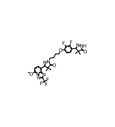 COc1ccc(C2=NN(CCCCOc3ccc(C4=NNC(=O)C4(C)C)c(F)c3F)C(=O)C2(C)C)c2nc(C(F)(F)F)nn12